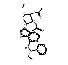 CC[C@H](Nc1ncnc2c1ncn2[C@@H]1O[C@H](CC)C(OC(C)=O)[C@@H]1OC(C)=O)c1ccccc1